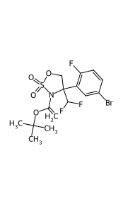 C=C(OC(C)(C)C)N1C(c2cc(Br)ccc2F)(C(F)F)COS1(=O)=O